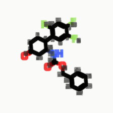 O=C1CCC(c2cc(F)c(F)cc2F)[C@@H](NC(=O)OCc2ccccc2)C1